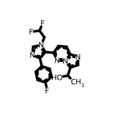 CC(O)c1cnc2ccc(-c3c(-c4ccc(F)cc4)ncn3CC(F)F)nn12